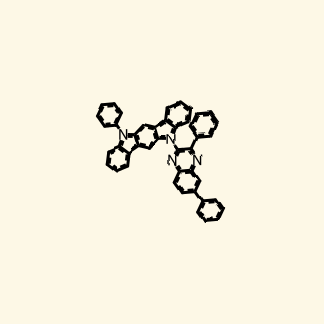 c1ccc(-c2ccc3nc(-n4c5ccccc5c5cc6c(cc54)c4ccccc4n6-c4ccccc4)c(-c4ccccc4)nc3c2)cc1